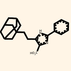 O=C(O)c1nc(-c2ccccc2)[nH]c1CCC12CC3CC(CC(C3)C1)C2